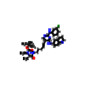 C[C@@H](C(=O)NCCCC#Cc1cnc(Nc2cccc(F)c2)nc1Nc1ccc2ncccc2c1)N(C)C(=O)OC(C)(C)C